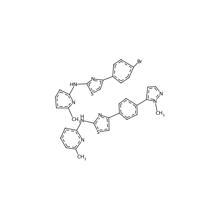 Cc1cccc(Nc2nc(-c3ccc(-c4ccnn4C)cc3)cs2)n1.Cc1cccc(Nc2nc(-c3ccc(Br)cc3)cs2)n1